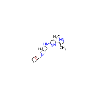 Cc1cnn(C)c1-c1ccc(N[C@@H]2CC3CN(Cc4cc5ccc4o5)C[C@H]3C2)nn1